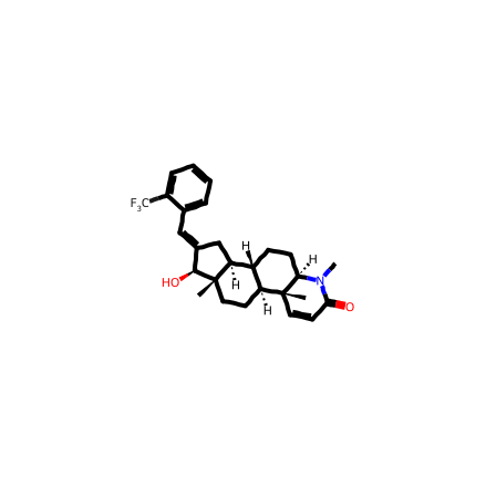 CN1C(=O)C=C[C@]2(C)[C@H]3CC[C@]4(C)[C@@H](O)C(=Cc5ccccc5C(F)(F)F)C[C@H]4[C@@H]3CC[C@@H]12